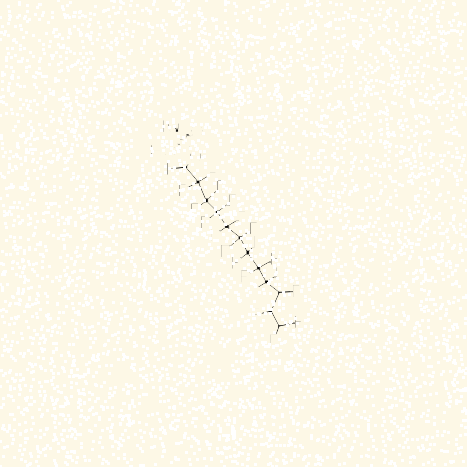 O=P(O)(O)OC(F)C(F)(F)C(F)(F)C(F)(F)C(F)(F)C(F)(F)C(F)(F)C(F)(F)C(F)(F)C(F)C(F)C(F)F